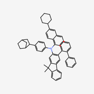 CC1(C)c2ccccc2-c2cc(-c3ccccc3-c3ccccc3)c(N(c3ccc(C4CC5CCC4C5)cc3)c3cccc4cc(C5CCCCC5)ccc34)cc21